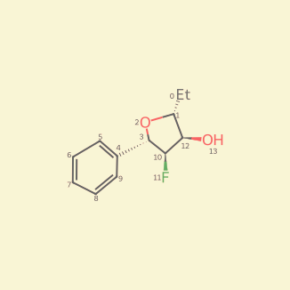 CC[C@H]1O[C@@H](c2ccccc2)[C@H](F)[C@@H]1O